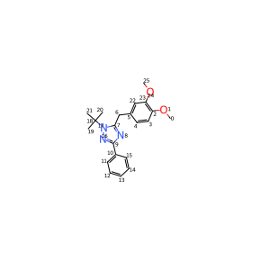 COc1ccc(Cc2nc(-c3ccccc3)nn2C(C)(C)C)cc1OC